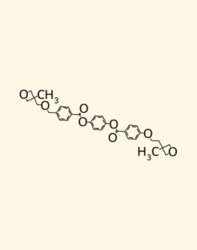 CC1(CCOc2ccc(C(=O)Oc3ccc(OC(=O)c4ccc(COCC5(C)COC5)cc4)cc3)cc2)COC1